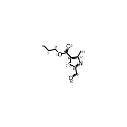 CCCOC(=O)c1sc(C=O)nc1C